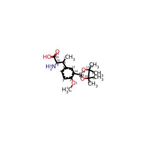 COc1ccc(C(C)[C@H](N)C(=O)O)cc1B1OC(C)(C)C(C)(C)O1